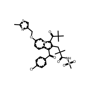 Cc1nc(COc2ccc3c(C(=O)c4ccc(Cl)cc4)c(CC(C)(C)C(=O)NS(C)(=O)=O)c(C(=O)C(C)(C)C)n3c2)cs1